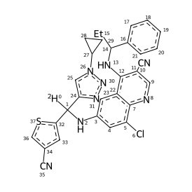 [2H]C(Nc1cc(Cl)c2ncc(C#N)c(NC(CC)c3ccccc3)c2c1)(c1cn(C2CC2)nn1)c1cc(C#N)cs1